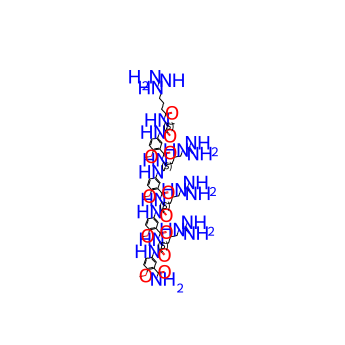 COc1ccc(NC(=O)[C@H](CCCNC(=N)N)NC(=O)c2cc(NC(=O)[C@H](CCCNC(=N)N)NC(=O)c3cc(NC[C@H](CCCNC(=N)N)NC(=O)c4cc(NC(=O)[C@H](C)NC(=O)CCCCNC(=N)N)ccc4OC)ccc3OC)ccc2OC)cc1C(N)=O